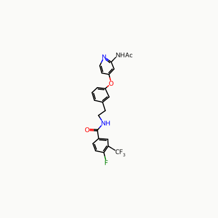 CC(=O)Nc1cc(Oc2cccc(CCNC(=O)c3ccc(F)c(C(F)(F)F)c3)c2)ccn1